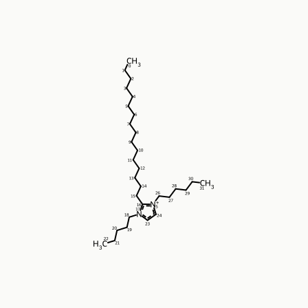 CCCCCCCCCCCCCCCCc1n(CCCCC)cc[n+]1CCCCCC